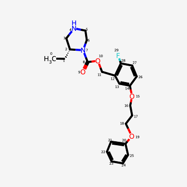 CC[C@@H]1CNCCN1C(=O)OCc1cc(OCCCOc2ccccc2)ccc1F